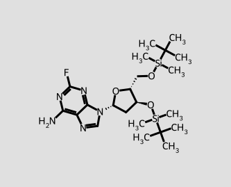 CC(C)(C)[Si](C)(C)OC[C@H]1O[C@@H](n2cnc3c(N)nc(F)nc32)C[C@@H]1O[Si](C)(C)C(C)(C)C